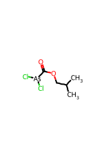 CC(C)COC(=O)[As](Cl)Cl